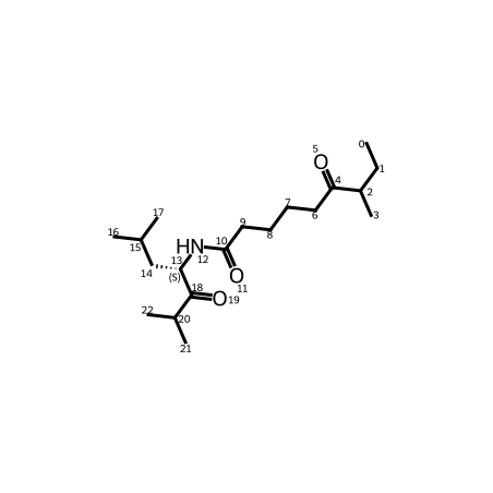 CCC(C)C(=O)CCCCC(=O)N[C@@H](CC(C)C)C(=O)C(C)C